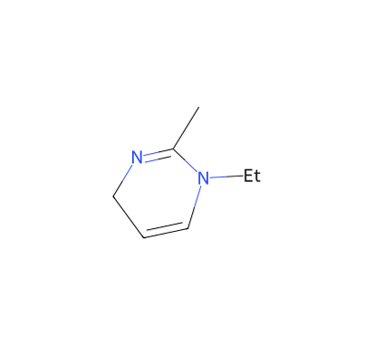 CCN1C=CCN=C1C